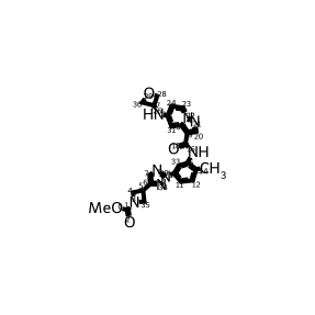 COC(=O)N1CC(c2cnn(-c3ccc(C)c(NC(=O)c4cnn5ccc(NC6COC6)cc45)c3)n2)C1